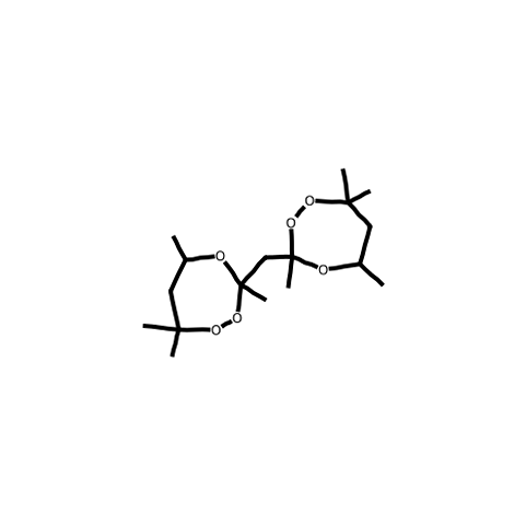 CC1CC(C)(C)OOC(C)(CC2(C)OOC(C)(C)CC(C)O2)O1